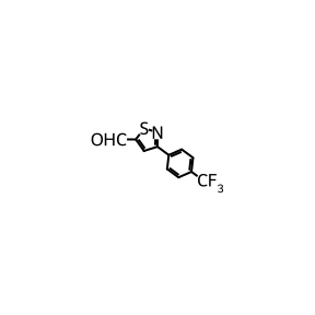 O=Cc1cc(-c2ccc(C(F)(F)F)cc2)ns1